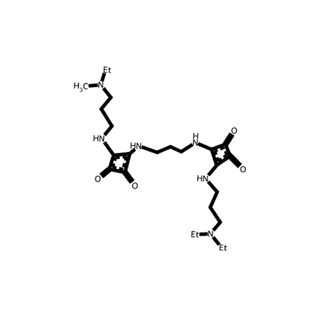 CCN(C)CCCNc1c(NCCCNc2c(NCCCN(CC)CC)c(=O)c2=O)c(=O)c1=O